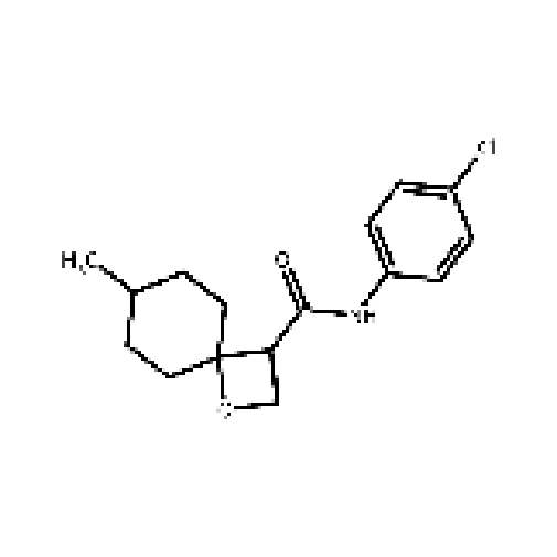 CC1CCC2(CC1)OCC2C(=O)Nc1ccc(Cl)cc1